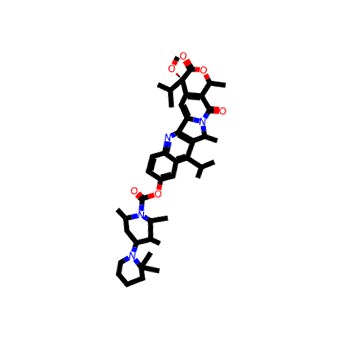 CO[C@]1(C(C)C)C(=O)OC(C)c2c1cc1n(c2=O)C(C)c2c-1nc1ccc(OC(=O)N3C(C)CC(N4CCCCC4(C)C)C(C)C3C)cc1c2C(C)C